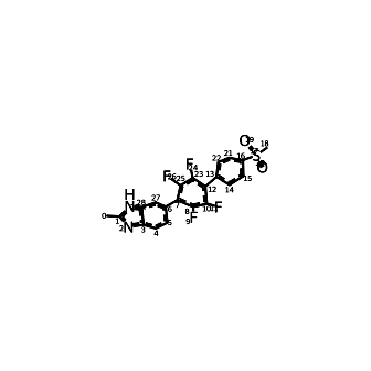 Cc1nc2ccc(-c3c(F)c(F)c(-c4ccc(S(C)(=O)=O)cc4)c(F)c3F)cc2[nH]1